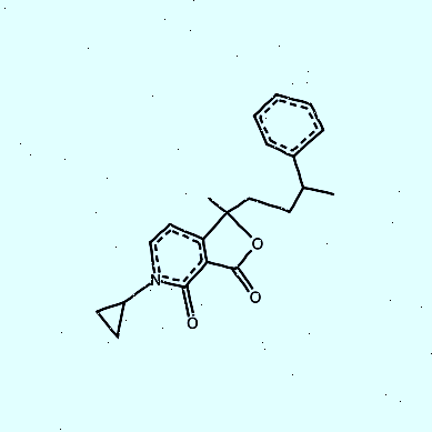 CC(CCC1(C)OC(=O)c2c1ccn(C1CC1)c2=O)c1ccccc1